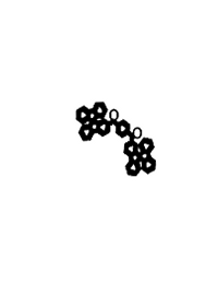 O=C(c1ccc(C(=O)c2ccc3c(c2)C2(c4ccccc4-c4ccccc42)c2ccccc2-3)cc1)c1ccc2c(c1)C1(c3ccccc3-c3ccccc31)c1ccccc1-2